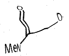 CNC(=O)C[O]